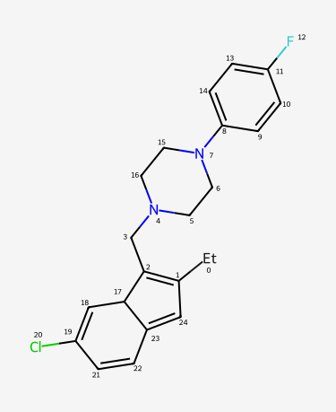 CCC1=C(CN2CCN(c3ccc(F)cc3)CC2)C2C=C(Cl)C=CC2=C1